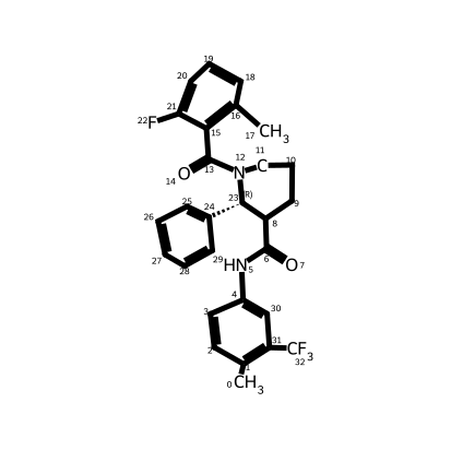 Cc1ccc(NC(=O)C2CCCN(C(=O)c3c(C)cccc3F)[C@H]2c2ccccc2)cc1C(F)(F)F